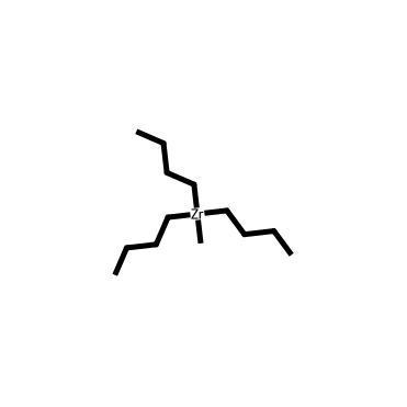 CCC[CH2][Zr]([CH3])([CH2]CCC)[CH2]CCC